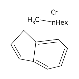 C1=Cc2ccccc2C1.CCCCCCC.[Cr]